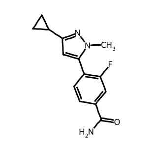 Cn1nc(C2CC2)cc1-c1ccc(C(N)=O)cc1F